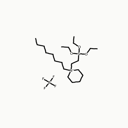 CCCCCCCC[N+]1(CC[Si](OCC)(OCC)OCC)CCCCC1.F[B-](F)(F)F